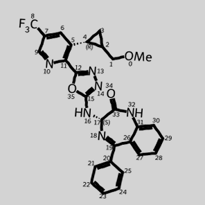 COCC1C[C@H]1c1cc(C(F)(F)F)cnc1-c1nnc(N[C@H]2N=C(c3ccccc3)c3ccccc3NC2=O)o1